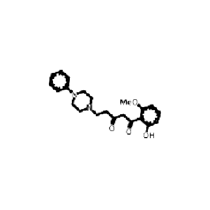 COc1cccc(O)c1C(=O)CC(=O)CCN1CCN(c2ccccc2)CC1